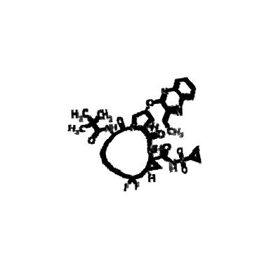 CCc1nc2ccccc2nc1O[C@@H]1C[C@H]2C(=O)N[C@]3(C(=O)NS(=O)(=O)C4CC4)C[C@H]3CC(F)(F)CCCCC[C@H](NC(=O)C(C)(C)C)C(=O)N2C1